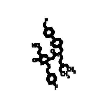 CCN(CC)CCN(Cc1ccc(-c2ccc(CF)cc2)nc1)C(=O)Cn1cc(CCO)c(=O)nc1SCc1ccc(F)cc1